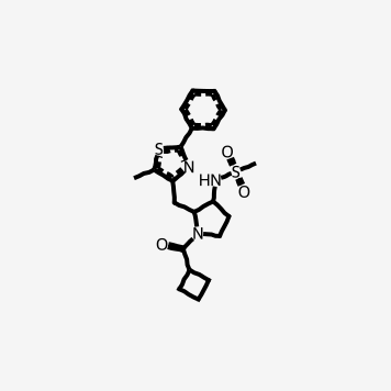 Cc1sc(-c2ccccc2)nc1CC1C(NS(C)(=O)=O)CCN1C(=O)C1CCC1